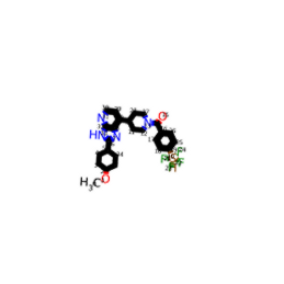 COC1CCC(c2nc3c(C4CCN(C(=O)c5ccc([SH](F)(F)(F)F)cc5)CC4)ccnc3[nH]2)CC1